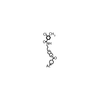 CC(=O)N1CCC(C(=O)N2CC3CN(CCCNC(=O)c4ccc(C)c(Cl)c4)CC3C2)CC1